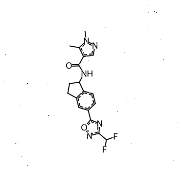 Cc1c(C(=O)NC2CCc3cc(-c4nc(C(F)F)no4)ccc32)cnn1C